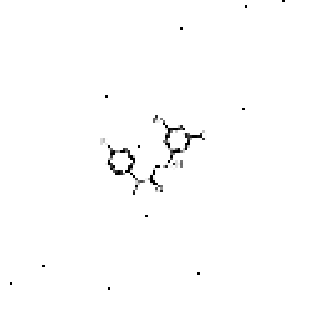 CN(C(=O)C[AsH]c1cc(Cl)cc(Br)c1)c1ccc(F)cc1